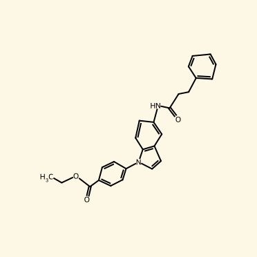 CCOC(=O)c1ccc(-n2ccc3cc(NC(=O)CCc4ccccc4)ccc32)cc1